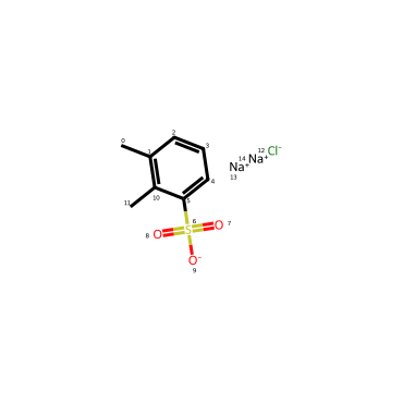 Cc1cccc(S(=O)(=O)[O-])c1C.[Cl-].[Na+].[Na+]